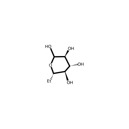 CC[C@@H]1OC(O)[C@@H](O)[C@H](O)[C@H]1O